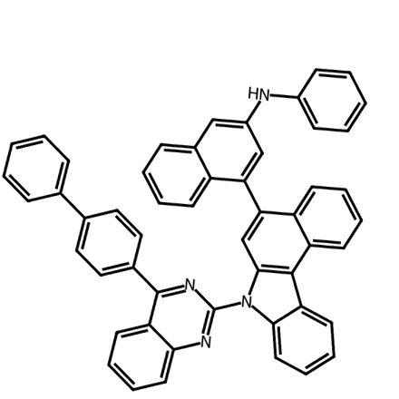 c1ccc(Nc2cc(-c3cc4c(c5ccccc35)c3ccccc3n4-c3nc(-c4ccc(-c5ccccc5)cc4)c4ccccc4n3)c3ccccc3c2)cc1